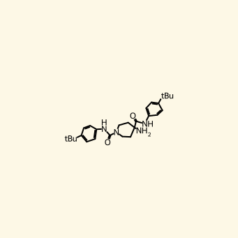 CC(C)(C)c1ccc(NC(=O)N2CCC(N)(C(=O)Nc3ccc(C(C)(C)C)cc3)CC2)cc1